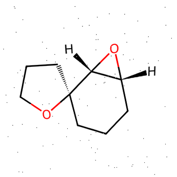 C1CO[C@]2(C1)CCC[C@H]1O[C@H]12